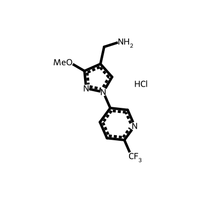 COc1nn(-c2ccc(C(F)(F)F)nc2)cc1CN.Cl